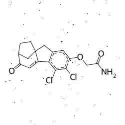 NC(=O)COc1cc2c(c(Cl)c1Cl)C1=CC(=O)C3CCC1(C2)C3